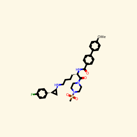 COc1ccc(-c2ccc(C(=O)N[C@@H](CCCCN[C@H]3C[C@@H]3c3ccc(F)cc3)C(=O)N3CCN(S(C)(=O)=O)CC3)cc2)cc1